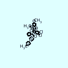 COc1ccc(S(=O)(=O)n2c(=O)n(C(C(=O)N3CCN(C4CCN(C)CC4)CC3)c3ccccc3)c3cc(Cl)c(Cl)cc32)c(OC)c1